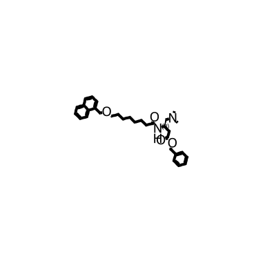 CN(C)C[C@@H](CC(=O)OCc1ccccc1)NC(=O)CCCCCCCOCc1cccc2ccccc12